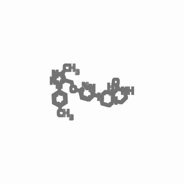 Cc1ccc(-n2nnc(C)c2COc2ccc(N3CCN4CCNC(=O)[C@@H]4C3)nn2)cc1